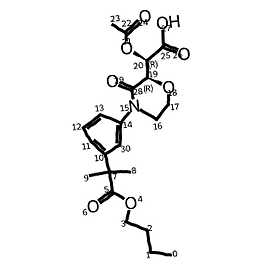 CCCCOC(=O)C(C)(C)c1cccc(N2CCO[C@H]([C@@H](OC(C)=O)C(=O)O)C2=O)c1